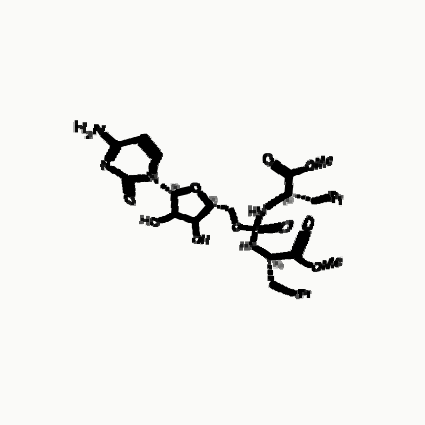 COC(=O)[C@H](CC(C)C)NP(=O)(N[C@@H](CC(C)C)C(=O)OC)OC[C@H]1O[C@@H](n2ccc(N)nc2=O)C(O)C1O